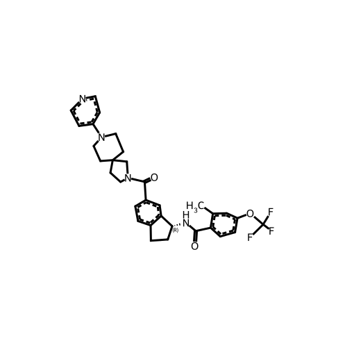 Cc1cc(OC(F)(F)F)ccc1C(=O)N[C@@H]1CCc2ccc(C(=O)N3CCC4(CCN(c5ccncc5)CC4)C3)cc21